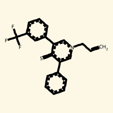 C=CCn1cc(-c2ccccc2)c(=S)c(-c2cccc(C(F)(F)F)c2)c1